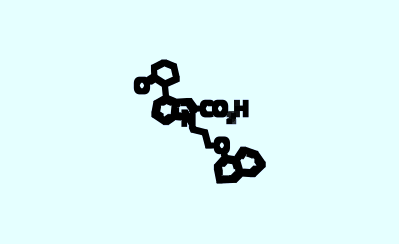 O=C(O)c1cc2c(C3CCCCC3=O)cccc2n1CCCOc1cccc2ccccc12